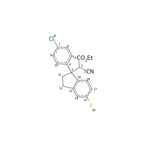 CCOC(=O)C(C#N)C1(c2ccc(Cl)cc2)CCc2cc(F)ccc21